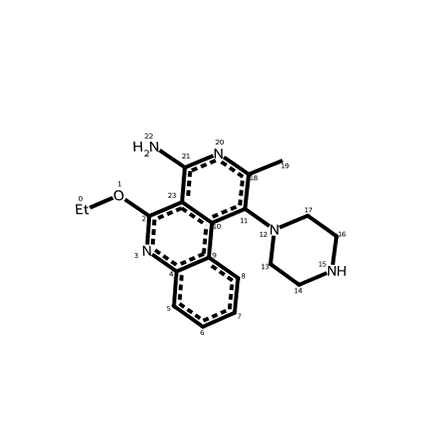 CCOc1nc2ccccc2c2c(N3CCNCC3)c(C)nc(N)c12